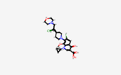 COc1c(N2CCC(=C(Cl)CN3CCOCC3)CC2)c(F)cc2c(=O)c(C(=O)O)cn(C3CC3)c12